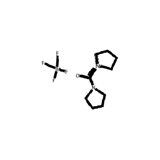 ClC(N1CCCC1)=[N+]1CCCC1.F[B-](F)(F)F